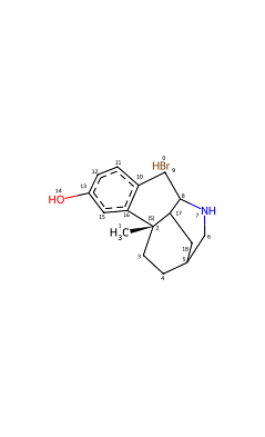 Br.C[C@@]12CCC3CNC(Cc4ccc(O)cc41)C2C3